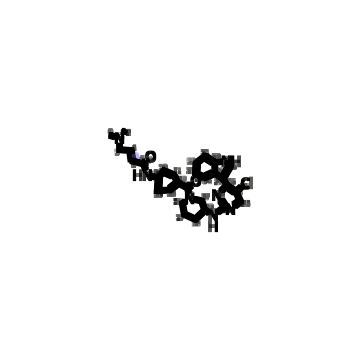 CN(C)C/C=C/C(=O)Nc1ccc(C(=O)N2CCCC(Nc3ncc(Cl)c(-c4c[nH]c5ccccc45)n3)C2)cc1